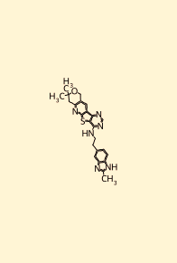 Cc1nc2cc(CCNc3ncnc4c3sc3nc5c(cc34)COC(C)(C)C5)ccc2[nH]1